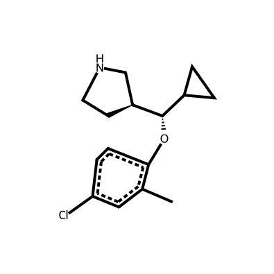 Cc1cc(Cl)ccc1O[C@@H](C1CC1)[C@H]1CCNC1